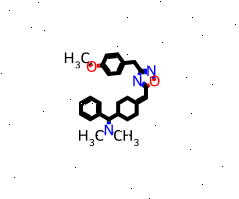 COc1ccc(Cc2noc(C=C3CCC(C(c4ccccc4)N(C)C)CC3)n2)cc1